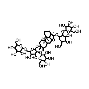 C=C1CC2CCC3[C@](C)(C(=O)OC4CC(CO)C(O)C(O)C4OC4OC(CO)C(O)C(O)C4O)CCC[C@@]3(C)[C@@H]2CCC1(C)OC1OC(COC2OC(CO)C(O)C(O)C2O)C(O)C(O)C1OC1OC(CO)C(O)C(O)C1O